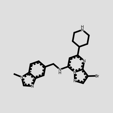 Cn1cnc2cc(CNc3cc(C4CCNCC4)nc4c(Br)cnn34)ccc21